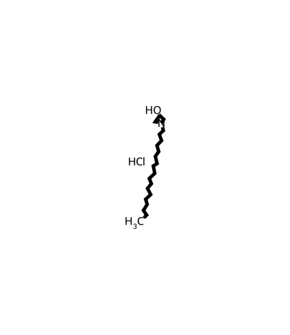 CCCCCCCCCCCCCCCCCCN1CC(O)C1.Cl